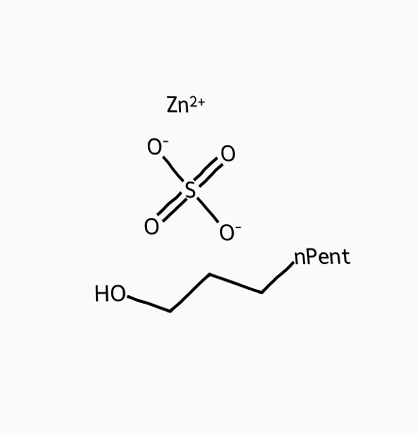 CCCCCCCCO.O=S(=O)([O-])[O-].[Zn+2]